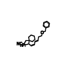 CCCC(/C=C\C=C\CCOCc1ccccc1)C1(CCC#N)CCCCC1